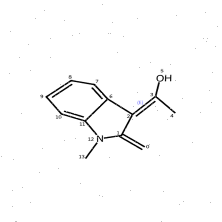 C=c1/c(=C(\C)O)c2ccccc2n1C